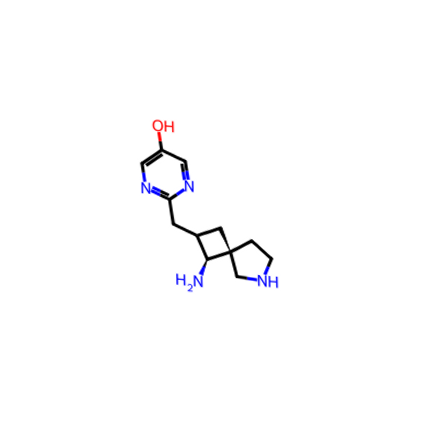 N[C@H]1C(Cc2ncc(O)cn2)C[C@]12CCNC2